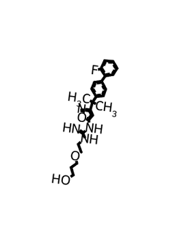 CC(C)(c1ccc(-c2ccccc2F)cc1)c1cc(NC(=N)NCCOCCCO)on1